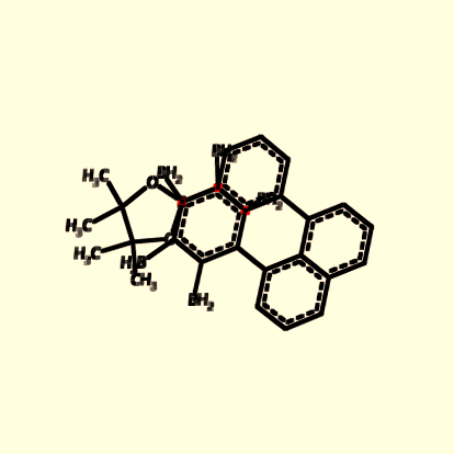 Bc1c(B)c(B)c(-c2cccc3cccc(-c4cccc(B5OC(C)(C)C(C)(C)O5)c4)c23)c(B)c1B